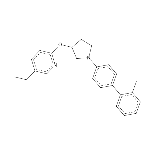 CCc1ccc(OC2CCN(c3ccc(-c4ccccc4C)cc3)C2)nc1